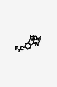 C[C@H]1CN=C2c3ccc(C(F)(F)F)cc3C[C@H]2O1